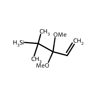 C=CC(OC)(OC)C(C)(C)[SiH3]